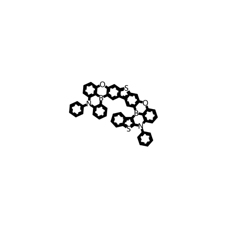 c1ccc(N2c3ccccc3B3c4cc5c(cc4Oc4cccc2c43)sc2cc3c(cc25)B2c4c(cccc4N(c4ccccc4)c4sc5ccccc5c42)O3)cc1